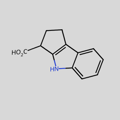 O=C(O)C1CCc2c1[nH]c1ccccc21